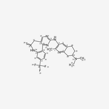 Cc1nc2c(cc1Nc1ncc3c(n1)-c1ccc(C(F)(F)F)cc1NC(=S)C3)CCC(N(C)C)C2